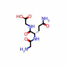 NCC(=O)N[C@@H](CCC(N)=O)C(=O)NCC(=O)O